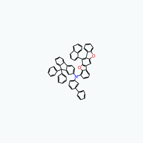 c1ccc(-c2cccc(N(c3ccc4c(c3)C(c3ccccc3)(c3ccccc3)c3ccccc3-4)c3cccc4c3oc3c(-c5cccc6ccccc56)c5c(cc34)oc3ccccc35)c2)cc1